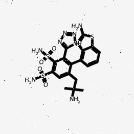 CC(C)(N)Cc1cc(S(N)(=O)=O)c(S(N)(=O)=O)c(-c2nnn[nH]2)c1-c1cccc2sc(N)nc12